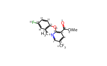 COC(=O)c1cc(C(F)(F)F)cnc1Oc1ccc(F)cc1C